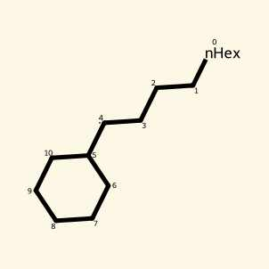 [CH2]CCCCCCCC[CH]C1CCCCC1